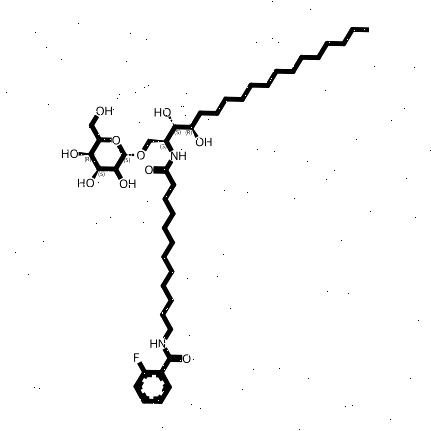 CCCCCCCCCCCCCC[C@@H](O)[C@@H](O)[C@H](CO[C@H]1OC(CO)[C@H](O)[C@H](O)C1O)NC(=O)CCCCCCCCCCCNC(=O)c1ccccc1F